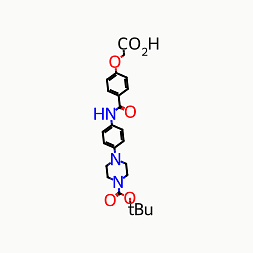 CC(C)(C)OC(=O)N1CCN(c2ccc(NC(=O)c3ccc(OCC(=O)O)cc3)cc2)CC1